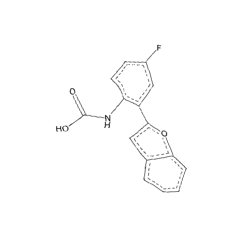 O=C(O)Nc1ccc(F)cc1-c1cc2ccccc2o1